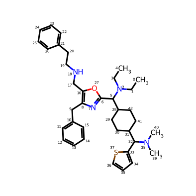 CCN(CC)C(c1nc(Cc2ccccc2)c(CNCCc2ccccc2)o1)C1CCC(C(c2cccs2)N(C)C)CC1